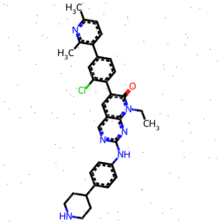 CCn1c(=O)c(-c2ccc(-c3ccc(C)nc3C)cc2Cl)cc2cnc(Nc3ccc(C4CCNCC4)cc3)nc21